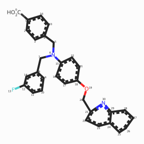 O=C(O)c1ccc(CN(Cc2cccc(F)c2)c2ccc(OCc3ccc4ccccc4n3)cc2)cc1